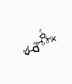 Cn1nccc1-c1cccc(NC(=O)[C@H]2C[C@H](F)CN2C(=O)OC(C)(C)C)c1